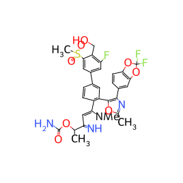 CN/C(=C\C(=N)C(C)OC(N)=O)c1ccc(-c2cc(F)c(CO)c(S(C)(=O)=O)c2)cc1-c1oc(C)nc1-c1ccc2c(c1)OC(F)(F)O2